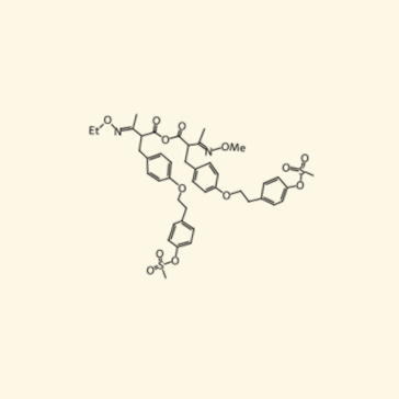 CCON=C(C)C(Cc1ccc(OCCc2ccc(OS(C)(=O)=O)cc2)cc1)C(=O)OC(=O)C(Cc1ccc(OCCc2ccc(OS(C)(=O)=O)cc2)cc1)C(C)=NOC